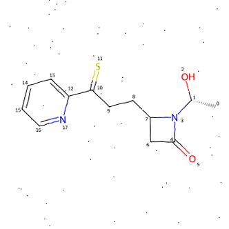 C[C@@H](O)N1C(=O)CC1CCC(=S)c1ccccn1